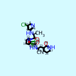 C[C@H](Nc1cncc(Cl)c1)C(=O)N1C2CCC(C1C(=O)NC(C#N)CC1CCCNC1=O)C(F)(F)C2